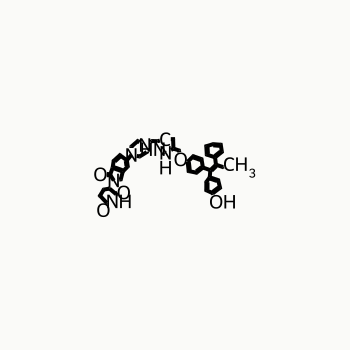 CC/C(=C(\c1ccc(O)cc1)c1ccc(OCC2CCC(CN3CCN(c4ccc5c(c4)CN(C4CCC(=O)NC4=O)C5=O)CC3)NN2)cc1)c1ccccc1